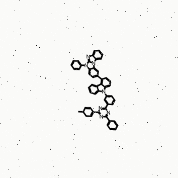 CC1C=CC(c2nc(-c3ccccc3)nc(-c3cccc(-n4c5ccccc5c5c(-c6ccc7c(c6)n6c8ccccc8nc6n7-c6ccccc6)cccc54)c3)n2)=CC1